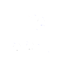 CCNCCNc1ccc(-c2cncc(F)c2)nc1C1CCN(c2ncnc3c2C(C)(C)C(=O)N3)CC1